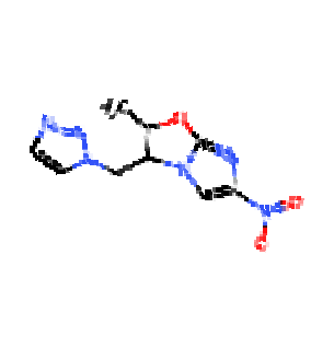 CC1Oc2nc([N+](=O)[O-])cn2C1Cn1ccnn1